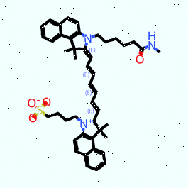 CNC(=O)CCCCCN1/C(=C/C=C/C=C/C=C/C2=[N+](CCCCS(=O)(=O)[O-])c3ccc4ccccc4c3C2(C)C)C(C)(C)c2c1ccc1ccccc21